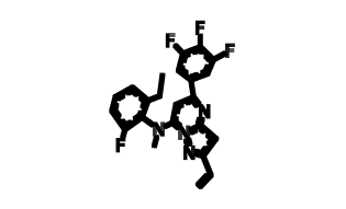 C=Cc1cc2nc(-c3cc(F)c(F)c(F)c3)cc(N(C)c3c(F)cccc3CC)n2n1